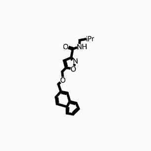 CC(C)CNC(=O)c1cc(COCc2ccc3ccccc3c2)on1